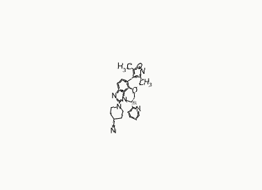 Cc1noc(C)c1-c1ccc2nc(N3CCC(C#N)CC3)n3c2c1OC[C@@H]3c1ccccn1